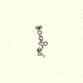 Cc1cc(CSc2ccccc2C(=O)N2CCN(c3ccc([N+](=O)[O-])cc3)CC2)on1